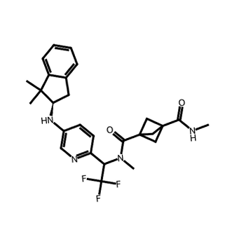 CNC(=O)C12CC(C(=O)N(C)C(c3ccc(N[C@@H]4Cc5ccccc5C4(C)C)cn3)C(F)(F)F)(C1)C2